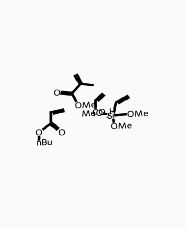 C=C(C)C(=O)OC.C=CC(=O)O.C=CC(=O)OCCCC.C=C[Si](OC)(OC)OC